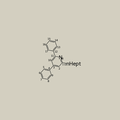 CCCCCCCc1cc(-c2ccccc2)cc(-c2ccccc2)n1